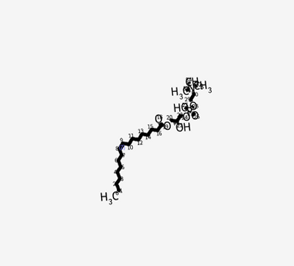 CCCCCCCC/C=C\CCCCCCCC(=O)OC[C@@H](O)COP(=O)(O)OCC[N+](C)(C)C